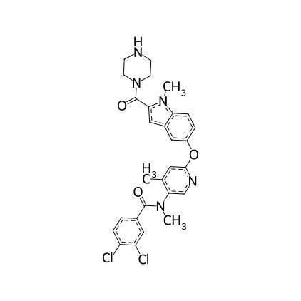 Cc1cc(Oc2ccc3c(c2)cc(C(=O)N2CCNCC2)n3C)ncc1N(C)C(=O)c1ccc(Cl)c(Cl)c1